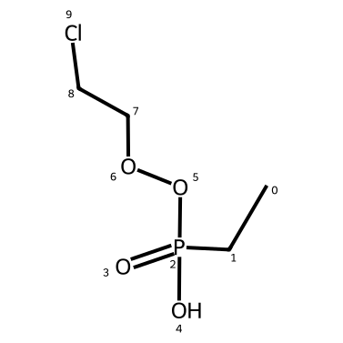 CCP(=O)(O)OOCCCl